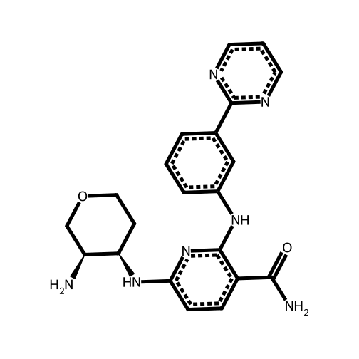 NC(=O)c1ccc(N[C@@H]2CCOC[C@@H]2N)nc1Nc1cccc(-c2ncccn2)c1